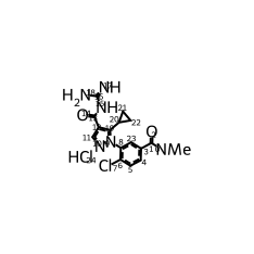 CNC(=O)c1ccc(Cl)c(-n2ncc(C(=O)NC(=N)N)c2C2CC2)c1.Cl